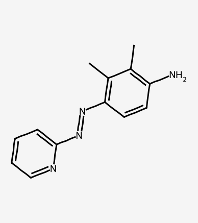 Cc1c(N)ccc(/N=N/c2ccccn2)c1C